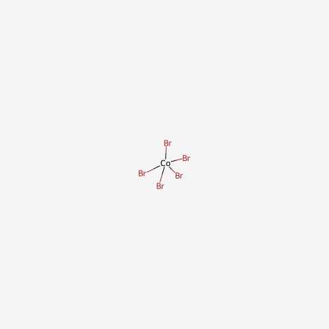 [Br][Co]([Br])([Br])([Br])[Br]